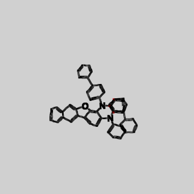 c1ccc(-c2ccc(N(c3ccccc3)c3c(N(c4ccccc4)c4ccccc4-c4ccccc4)ccc4c3oc3cc5ccccc5cc34)cc2)cc1